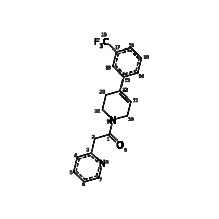 O=C(Cc1ccccn1)N1CC=C(c2cccc(C(F)(F)F)c2)CC1